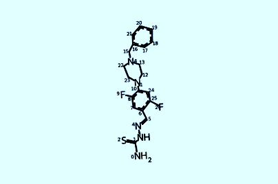 NC(=S)N/N=C/c1cc(F)c(N2CCN(Cc3ccccc3)CC2)cc1F